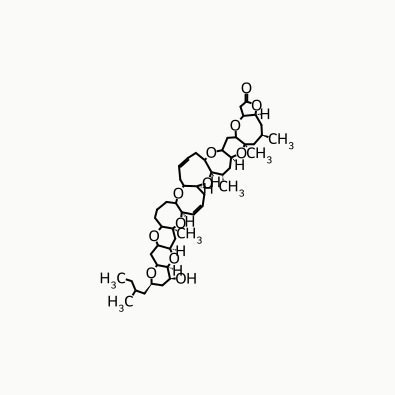 CCC(C)C[C@@H]1C[C@H](O)[C@@H]2O[C@@H]3C[C@]4(C)O[C@@H]5/C=C\C[C@@H]6O[C@H]7C(C/C=C\CC6OC5CCCC4OC3CC2O1)OC1CC2OC3CC(=O)O[C@H]3C[C@@H](C)C[C@@]2(C)O[C@H]1C[C@@H]7C